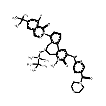 Cn1c2c(cc(Nc3ccc(C(=O)N4CCOCC4)cn3)c1=O)-c1cccc(-n3ncc4cc(C(C)(C)C)cc(F)c4c3=O)c1C[C@H](O[Si](C)(C)C(C)(C)C)C2